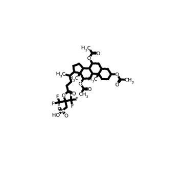 CC(=O)OC1CCC2(C)C(C1)CC(OC(C)=O)C1C2CC(OC(C)=O)C2(C)C(C(C)CCC(=O)OC(CS(=O)(=O)O)(C(F)(F)F)C(F)(F)F)CCC12